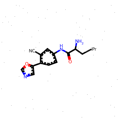 CC(C)CC(N)C(=O)Nc1ccc(-c2cnco2)c(C#N)c1